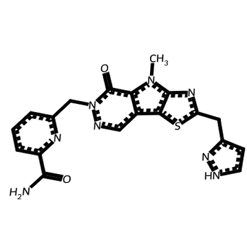 Cn1c2nc(Cc3cc[nH]n3)sc2c2cnn(Cc3cccc(C(N)=O)n3)c(=O)c21